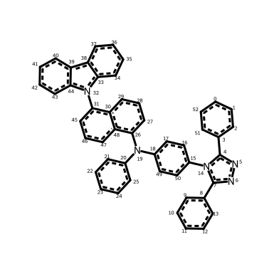 c1ccc(-c2nnc(-c3ccccc3)n2-c2ccc(N(c3ccccc3)c3cccc4c(-n5c6ccccc6c6ccccc65)cccc34)cc2)cc1